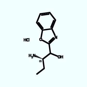 CC[C@H](N)C(O)c1nc2ccccc2o1.Cl